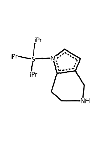 CC(C)S(C(C)C)(C(C)C)n1ccc2c1CCNC2